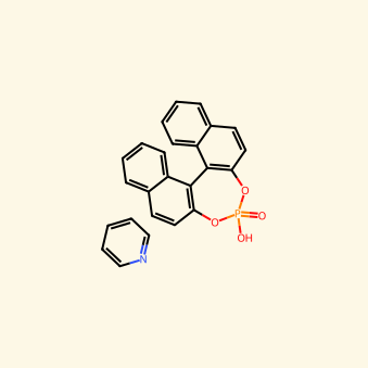 O=P1(O)Oc2ccc3ccccc3c2-c2c(ccc3ccccc23)O1.c1ccncc1